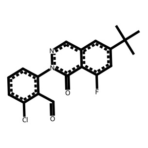 CC(C)(C)c1cc(F)c2c(=O)n(-c3cccc(Cl)c3C=O)ncc2c1